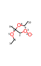 [CH2]C(CO[O])(OCC)OCC